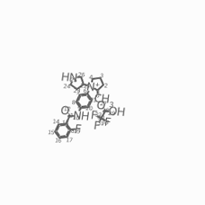 CC1CCC[N+]1(c1ccc(NC(=O)c2ccccc2F)cc1)C1CCNC1.O=C(O)C(F)(F)F